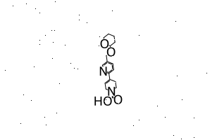 O=C(O)N1CC=C(c2ccc(COC3CCCCO3)cn2)CC1